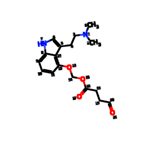 CN(C)CCc1c[nH]c2cccc(OCOC(=O)CCC=O)c12